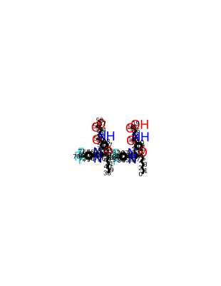 CCCCCCC(Oc1ccc(C(=O)NCCC(=O)O)cc1)c1cnc(-c2ccc(C(F)(F)F)cc2)nc1.CCCCCCC(Oc1ccc(C(=O)NCCC(=O)OC)cc1)c1cnc(-c2ccc(C(F)(F)F)cc2)nc1